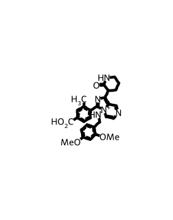 COc1ccc(CN[N+]23C=CN=CC2=C(C2CCCNC2=O)N=C3c2ccc(C(=O)O)cc2C)c(OC)c1